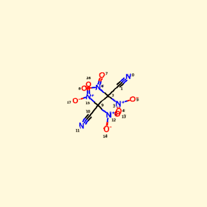 N#CC([N+](=O)[O-])([N+](=O)[O-])C(C#N)([N+](=O)[O-])[N+](=O)[O-]